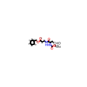 CC(C)(C)OC(=O)NC(CC=O)C(=O)NCCC(=O)OCc1ccccc1